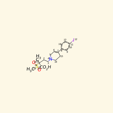 CC(CCN1CC=C(c2ccc(I)cc2)CC1)(C(=O)O)S(C)(=O)=O